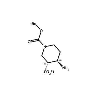 CCOC(=O)[C@@H]1CN(C(=O)OC(C)(C)C)CC[C@H]1N